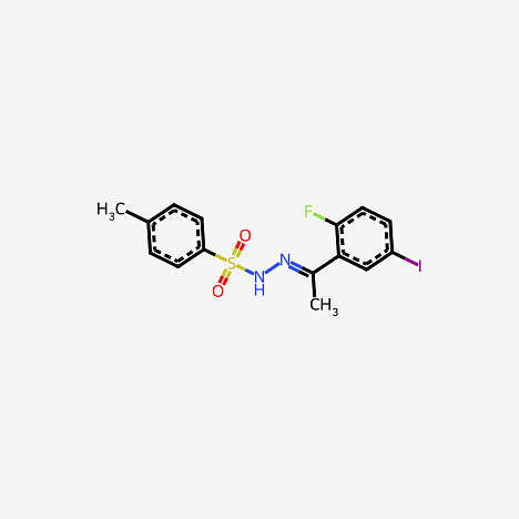 C/C(=N\NS(=O)(=O)c1ccc(C)cc1)c1cc(I)ccc1F